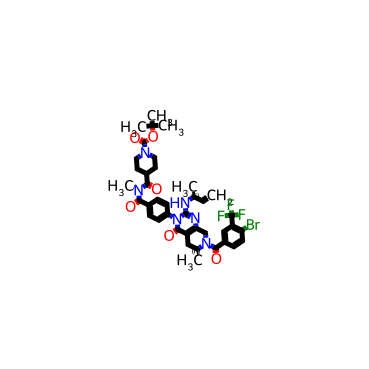 C=C[C@H](C)Nc1nc2c(c(=O)n1-c1ccc(C(=O)N(C)C(=O)C3CCN(C(=O)OC(C)(C)C)CC3)cc1)C[C@@H](C)N(C(=O)c1ccc(Br)c(C(F)(F)F)c1)C2